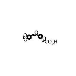 C[C@@H](Oc1ccc(C(=O)/C=C/c2ccc3c(c2)OCCO3)cc1)C(=O)O